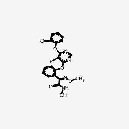 CON=C(C(=O)NO)c1ccccc1Oc1ncnc(Oc2ccccc2Cl)c1F